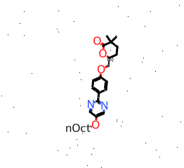 CCCCCCCCOc1cnc(-c2ccc(OC[C@@H]3CCC(C)(C)C(=O)O3)cc2)nc1